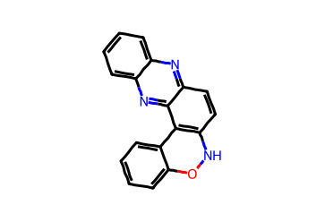 c1ccc2c(c1)ONc1ccc3nc4ccccc4nc3c1-2